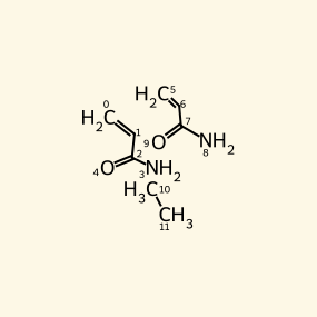 C=CC(N)=O.C=CC(N)=O.CC